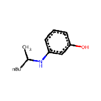 CCCCC(C)Nc1cccc(O)c1